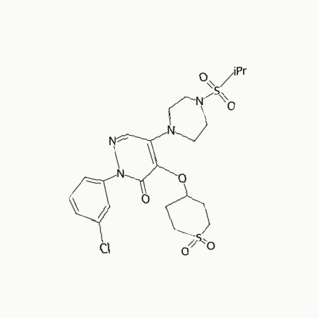 CC(C)S(=O)(=O)N1CCN(c2cnn(-c3cccc(Cl)c3)c(=O)c2OC2CCS(=O)(=O)CC2)CC1